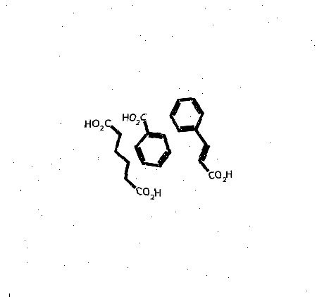 O=C(O)C=Cc1ccccc1.O=C(O)CCCCC(=O)O.O=C(O)c1ccccc1